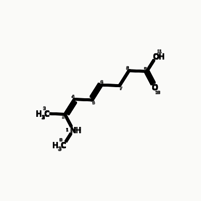 CN/C(C)=C\C=C\CCC(=O)O